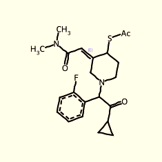 CC(=O)SC1CCN(C(C(=O)C2CC2)c2ccccc2F)C/C1=C\C(=O)N(C)C